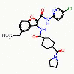 O=C(O)Cc1ccc2oc(C(=O)Nc3ccc(Cl)cn3)c(NC(=O)C3CCC(C(=O)N4CCCC4)CC3)c2c1